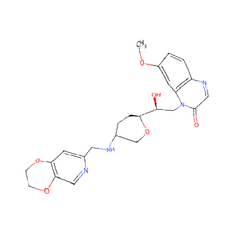 COc1ccc2ncc(=O)n(C[C@H](O)[C@@H]3CCC(NCc4cc5c(cn4)OCCO5)CO3)c2c1